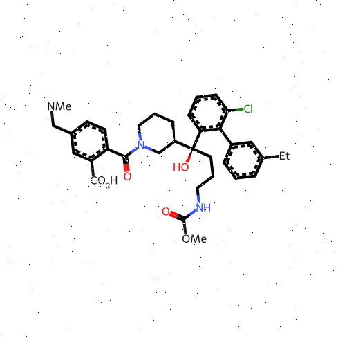 CCc1cccc(-c2c(Cl)cccc2[C@](O)(CCCNC(=O)OC)[C@@H]2CCCN(C(=O)c3ccc(CNC)cc3C(=O)O)C2)c1